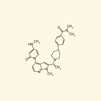 CNc1ccn(-c2ccnc3c2cc([C@H](C)N2CCC(c4ccc(C(=O)N(C)C)cc4)CC2)n3C)c(=O)c1